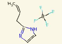 C=CCc1ncc[nH]1.F[B-](F)(F)F